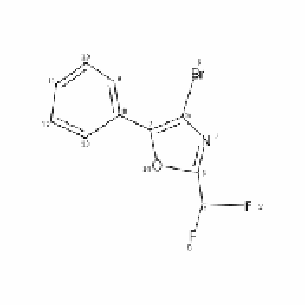 FC(F)c1nc(Br)c(-c2ccccc2)o1